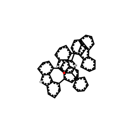 c1ccc(-c2nc(-c3ccccc3)nc(-c3cccc4oc5cccc(-c6cccc7c6sc6cccc(-n8c9ccccc9c9ccccc98)c67)c5c34)n2)cc1